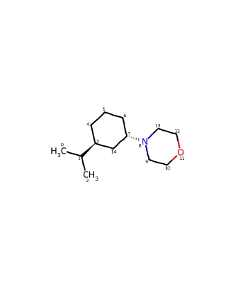 CC(C)[C@H]1CCC[C@H](N2CCOCC2)C1